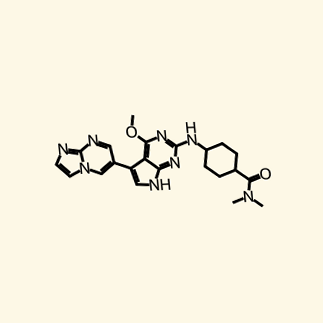 COc1nc(NC2CCC(C(=O)N(C)C)CC2)nc2[nH]cc(-c3cnc4nccn4c3)c12